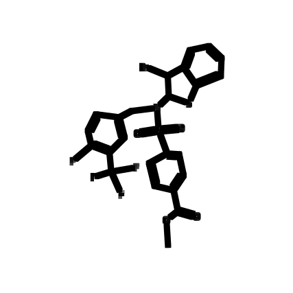 COC(=O)c1ccc(S(=O)(=O)N(Cc2ccc(F)c(C(F)(F)F)c2)C2Sc3ccccc3C2Br)cc1